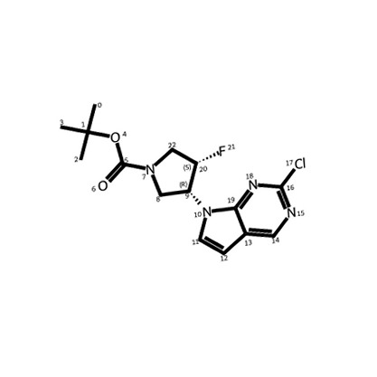 CC(C)(C)OC(=O)N1C[C@@H](n2ccc3cnc(Cl)nc32)[C@@H](F)C1